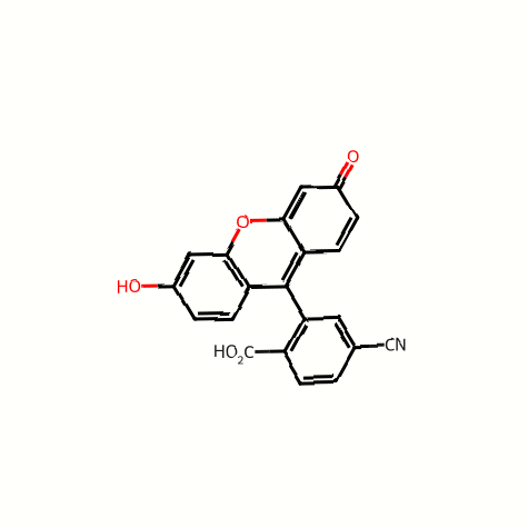 N#Cc1ccc(C(=O)O)c(-c2c3ccc(=O)cc-3oc3cc(O)ccc23)c1